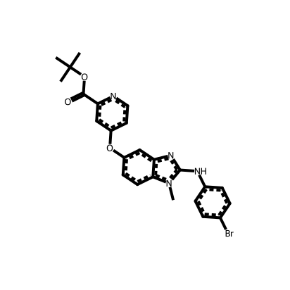 Cn1c(Nc2ccc(Br)cc2)nc2cc(Oc3ccnc(C(=O)OC(C)(C)C)c3)ccc21